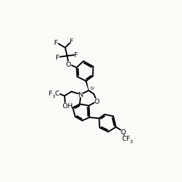 OC(CN1c2cccc(-c3ccc(OC(F)(F)F)cc3)c2OC[C@@H]1c1cccc(OC(F)(F)C(F)F)c1)C(F)(F)F